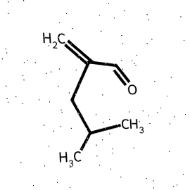 C=C(C=O)CC(C)C